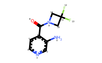 Nc1cnccc1C(=O)N1CC(F)(F)C1